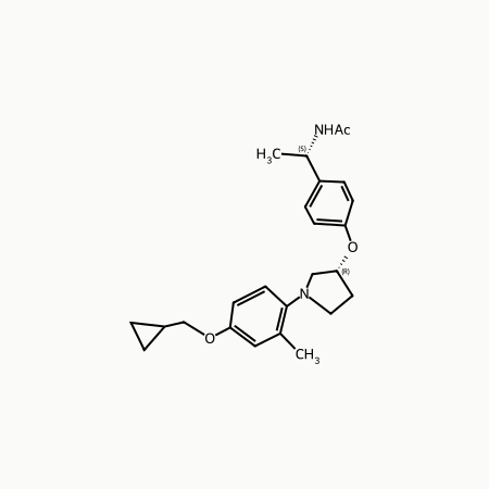 CC(=O)N[C@@H](C)c1ccc(O[C@@H]2CCN(c3ccc(OCC4CC4)cc3C)C2)cc1